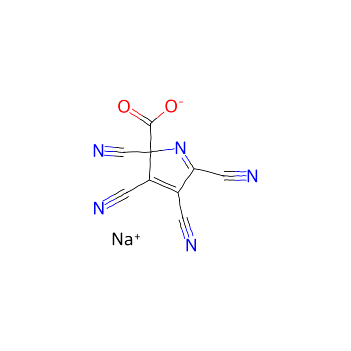 N#CC1=NC(C#N)(C(=O)[O-])C(C#N)=C1C#N.[Na+]